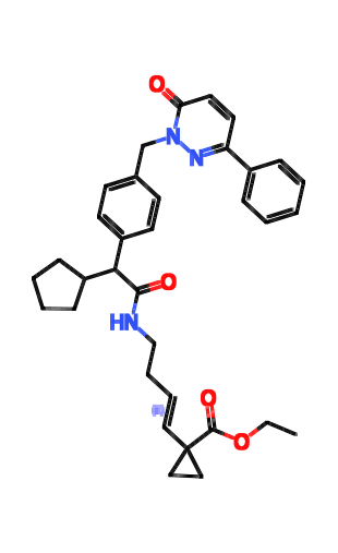 CCOC(=O)C1(/C=C/CCNC(=O)C(c2ccc(Cn3nc(-c4ccccc4)ccc3=O)cc2)C2CCCC2)CC1